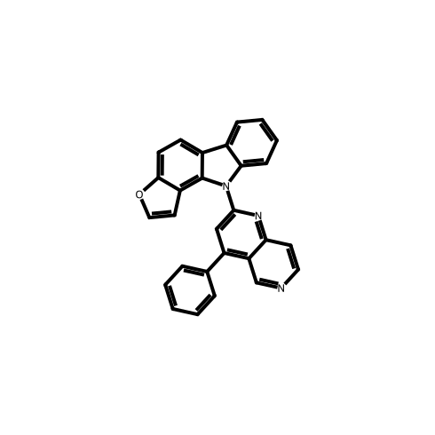 c1ccc(-c2cc(-n3c4ccccc4c4ccc5occc5c43)nc3ccncc23)cc1